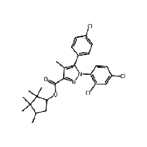 Cc1c(C(=O)OC2CC(C)C(C)(C)C2(C)C)nn(-c2ccc(Cl)cc2Cl)c1-c1ccc(Cl)cc1